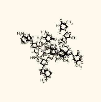 CC[C@H]1O[C@@H](n2cc(C)c(=O)[nH]c2=O)CC1OP(=O)(S)OC[C@H]1O[C@@H](n2cc(C)c(=O)[nH]c2=O)CC1OP(=O)(S)OC[C@H]1O[C@@H](n2cc(C)c(N)nc2=O)CC1OP(=O)(S)OC[C@H]1O[C@@H](n2cnc3c(N)ncnc32)CC1OP(=O)(S)OC[C@H]1O[C@@H](n2cnc3c(N)ncnc32)CC1OP(=O)(S)OC[C@H]1O[C@@H](n2cc(C)c(=O)[nH]c2=O)CC1OP(=O)(S)OC